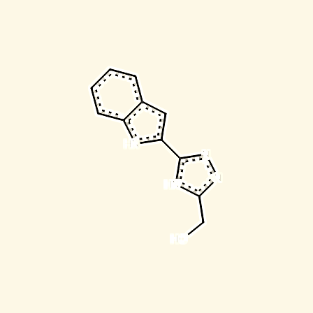 OCc1nnc(-c2cc3ccccc3[nH]2)[nH]1